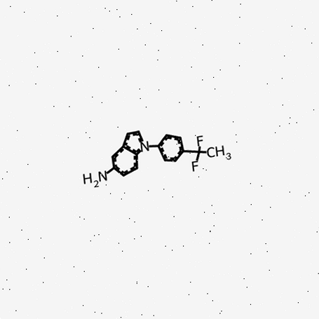 CC(F)(F)c1ccc(-n2ccc3cc(N)ccc32)cc1